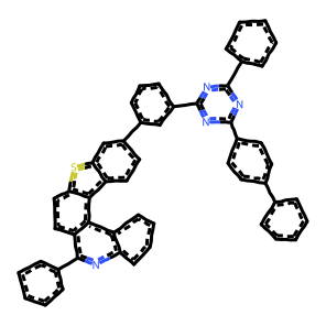 c1ccc(-c2ccc(-c3nc(-c4ccccc4)nc(-c4cccc(-c5ccc6c(c5)sc5ccc7c(-c8ccccc8)nc8ccccc8c7c56)c4)n3)cc2)cc1